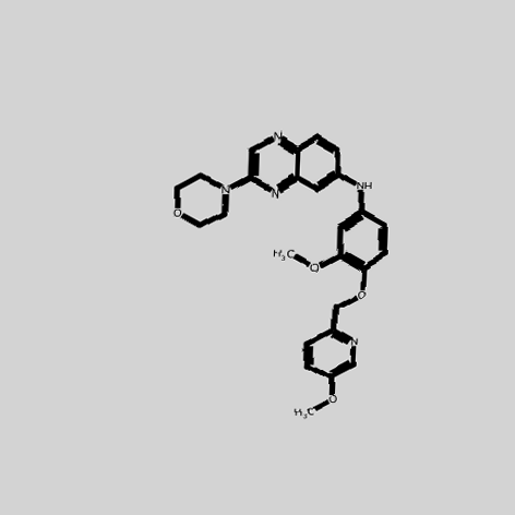 COc1ccc(COc2ccc(Nc3ccc4ncc(N5CCOCC5)nc4c3)cc2OC)nc1